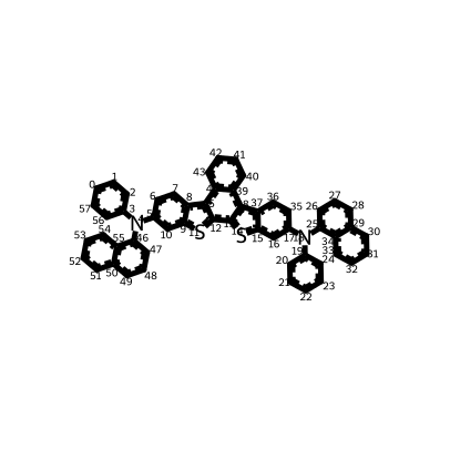 c1ccc(N(c2ccc3c(c2)sc2c4sc5cc(N(c6ccccc6)c6cccc7ccccc67)ccc5c4c4ccccc4c32)c2cccc3ccccc23)cc1